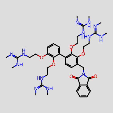 C/N=C(\NC)NCCOc1cccc(-c2ccc(CN3C(=O)c4ccccc4C3=O)c(OCCN/C(=N/C)NC)c2OCCN/C(=N/C)NC)c1OCCN/C(=N/C)NC